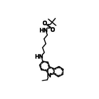 CCn1c2ccccc2c2cc(NCCCCCNS(=O)(=O)C(C)(C)C)ccc21